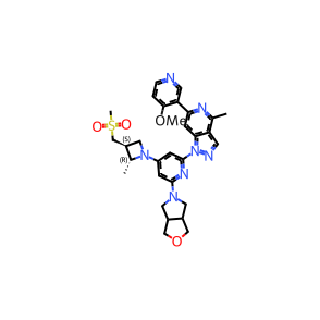 COc1ccncc1-c1cc2c(cnn2-c2cc(N3C[C@H](CS(C)(=O)=O)[C@H]3C)cc(N3CC4COCC4C3)n2)c(C)n1